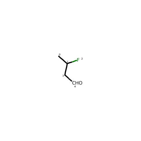 CC(F)CC=O